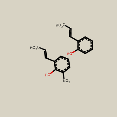 O=C(O)C=Cc1cccc([N+](=O)[O-])c1O.O=C(O)C=Cc1ccccc1O